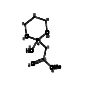 COC(=O)C[P]1(O)OCCCO1